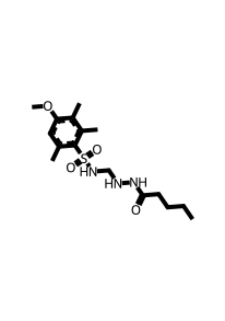 CCCCC(=O)NNCNS(=O)(=O)c1c(C)cc(OC)c(C)c1C